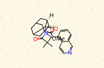 COC(=O)[C@]12CC3CC(C1)[C@@H](N1C(=O)C(C)(C)C1c1cccc4cnccc14)[C@@H](C3)C2